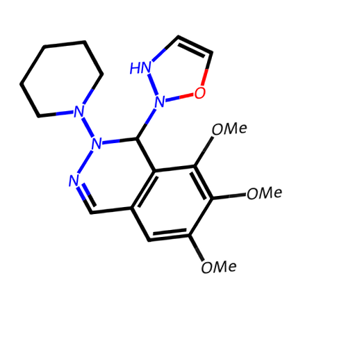 COc1cc2c(c(OC)c1OC)C(N1NC=CO1)N(N1CCCCC1)N=C2